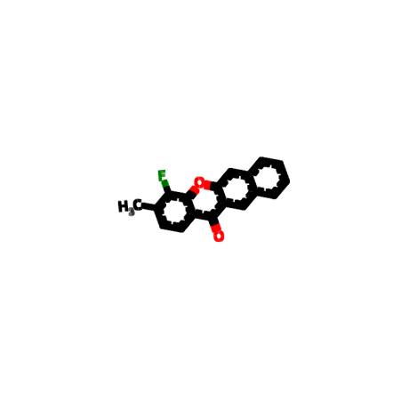 Cc1ccc2c(=O)c3cc4ccccc4cc3oc2c1F